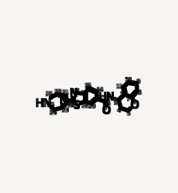 O=C(N[C@H]1CCOc2ccccc21)c1ccc2nc(N3C4CCC3CNC4)sc2c1